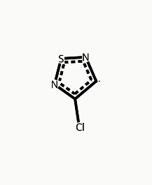 Clc1[c]nsn1